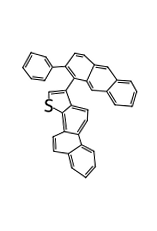 c1ccc(-c2ccc3cc4ccccc4cc3c2-c2csc3c2ccc2c4ccccc4ccc23)cc1